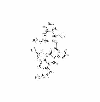 CC[C@@H]1CN(Cc2cc([C@@H](CC(=O)O)c3ccc4c(nnn4C)c3C)cc3ccsc23)[C@@H](C)c2ncccc2O1